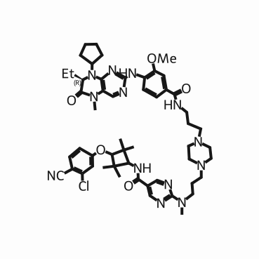 CC[C@@H]1C(=O)N(C)c2cnc(Nc3ccc(C(=O)NCCCN4CCN(CCCN(C)c5ncc(C(=O)NC6C(C)(C)C(Oc7ccc(C#N)c(Cl)c7)C6(C)C)cn5)CC4)cc3OC)nc2N1C1CCCC1